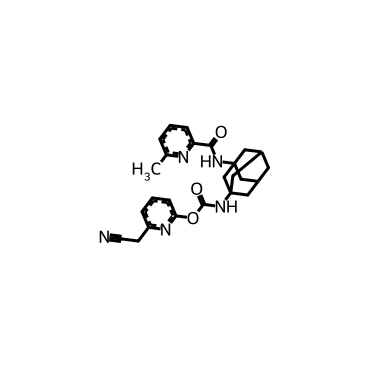 Cc1cccc(C(=O)NC23CC4CC(CC(NC(=O)Oc5cccc(CC#N)n5)(C4)C2)C3)n1